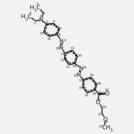 CCN(CC)c1ccc(N=Nc2ccc(N=Nc3ccc(C(=O)OCCOC)cc3)cc2)cc1